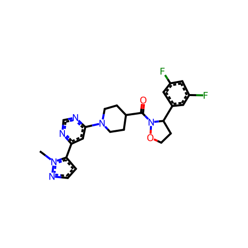 Cn1nccc1-c1cc(N2CCC(C(=O)N3OCCC3c3cc(F)cc(F)c3)CC2)ncn1